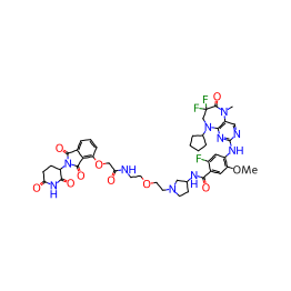 COc1cc(C(=O)NC2CCN(CCOCCNC(=O)COc3cccc4c3C(=O)N(C3CCC(=O)NC3=O)C4=O)C2)c(F)cc1Nc1ncc2c(n1)N(C1CCCC1)CC(F)(F)C(=O)N2C